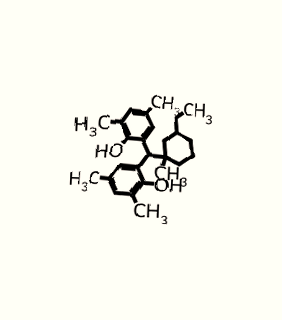 CCC1CCCC(C)(C(c2cc(C)cc(C)c2O)c2cc(C)cc(C)c2O)C1